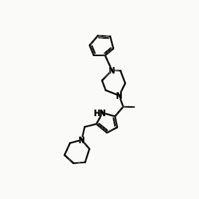 CC(c1ccc(CN2CCCCC2)[nH]1)N1CCN(c2ccccc2)CC1